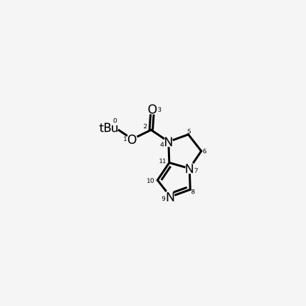 CC(C)(C)OC(=O)N1CCn2cncc21